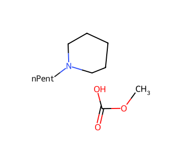 CCCCCN1CCCCC1.COC(=O)O